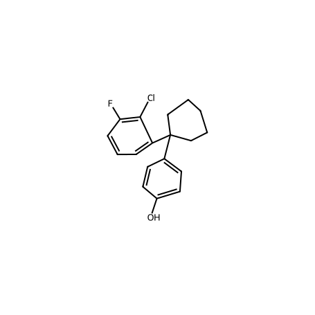 Oc1ccc(C2(c3cccc(F)c3Cl)CCCCC2)cc1